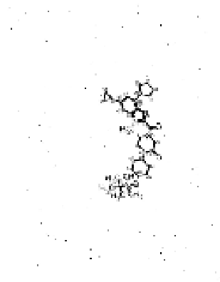 Cn1c(C(=O)N2CCN(C3CCC(O[Si](C)(C)C(C)(C)C)CC3)C(=O)C2)nc2c(C3CCCC3)cc(C3CC3)cc21